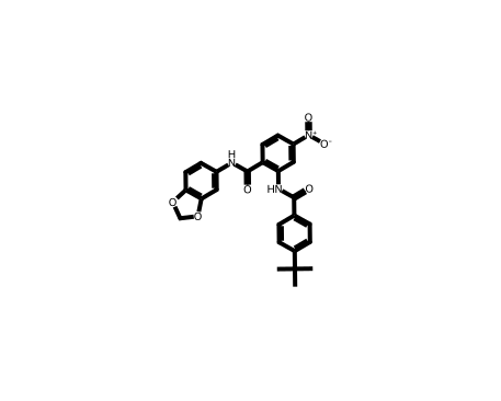 CC(C)(C)c1ccc(C(=O)Nc2cc([N+](=O)[O-])ccc2C(=O)Nc2ccc3c(c2)OCO3)cc1